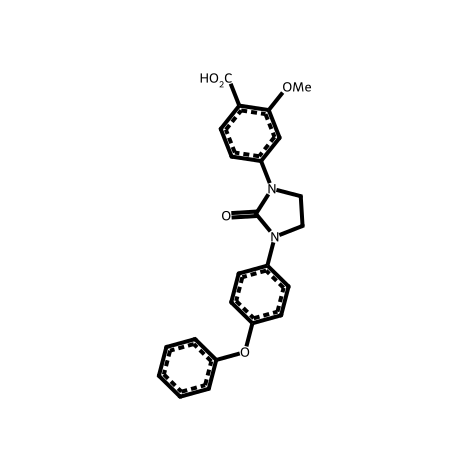 COc1cc(N2CCN(c3ccc(Oc4ccccc4)cc3)C2=O)ccc1C(=O)O